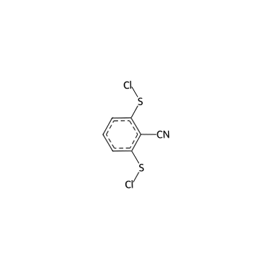 N#Cc1c(SCl)cccc1SCl